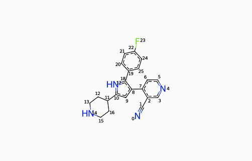 N#Cc1cnccc1-c1cc(C2CCNCC2)[nH]c1-c1ccc(F)cc1